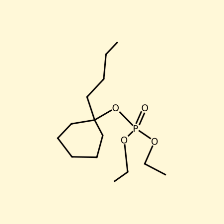 CCCCC1(OP(=O)(OCC)OCC)CCCCC1